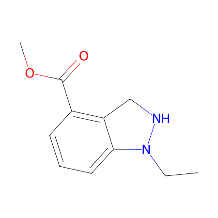 CCN1NCc2c(C(=O)OC)cccc21